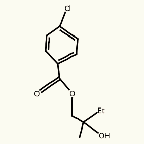 CCC(C)(O)COC(=O)c1ccc(Cl)cc1